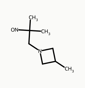 CC1CN(CC(C)(C)N=O)C1